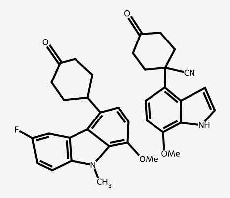 COc1ccc(C2(C#N)CCC(=O)CC2)c2cc[nH]c12.COc1ccc(C2CCC(=O)CC2)c2c3cc(F)ccc3n(C)c12